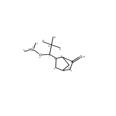 C[SiH](C)OC(C1CC2CC(=O)C1C2)C(C)(C)C